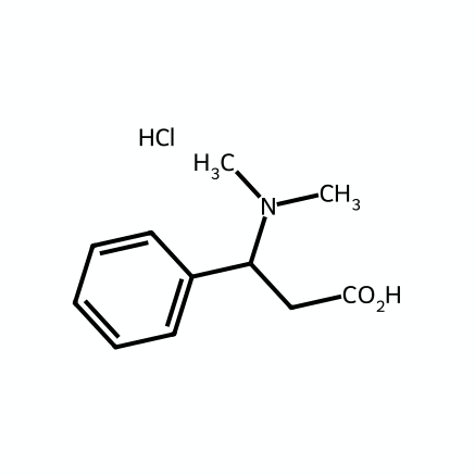 CN(C)C(CC(=O)O)c1ccccc1.Cl